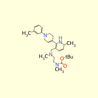 Cc1cccc(N2CC=C(C3=C(CN(C)CCN(C)C(=O)OC(C)(C)C)C=CC(C)N3)CC2)c1